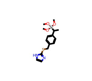 CO[Si](OC)(OC)C(C)c1ccc(CSc2ncc[nH]2)cc1